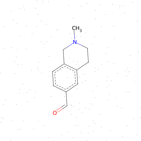 CN1CCc2cc(C=O)ccc2C1